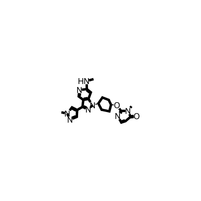 CNc1cc2c(cn1)c(-c1cnn(C)c1)nn2[C@H]1CC[C@@H](Oc2nccc(=O)n2C)CC1